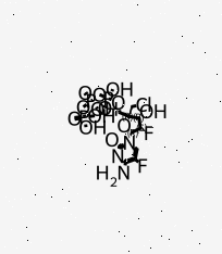 Nc1nc(=O)n([C@@H]2O[C@](CCl)(COP(=O)(O)OP(=O)(O)OP(=O)(O)O)[C@@H](O)[C@@H]2F)cc1F